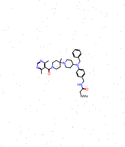 CNCC(=O)NCc1ccc(N(Cc2ccccc2)C2CCN(C3(C)CCN(C(=O)c4c(C)ncnc4C)CC3)CC2)cc1